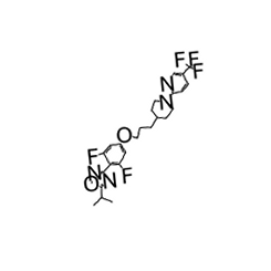 CC(C)c1nc(-c2c(F)cc(OCCCC3CCN(c4ccc(C(F)(F)F)cn4)CC3)cc2F)no1